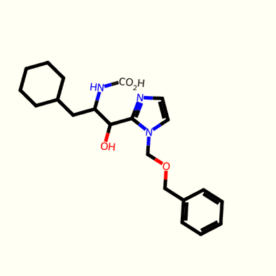 O=C(O)NC(CC1CCCCC1)C(O)c1nccn1COCc1ccccc1